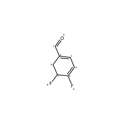 O=CC1=CC=C(F)C(F)C1